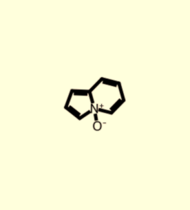 [O-][N+]12C=CC=CC1=CC=C2